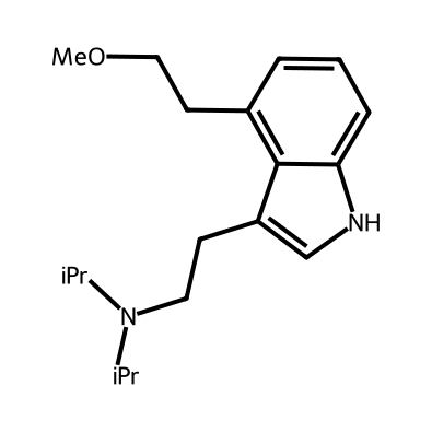 COCCc1cccc2[nH]cc(CCN(C(C)C)C(C)C)c12